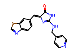 O=C1NC(NCc2ccncc2)=N/C1=C\c1ccc2ncsc2c1